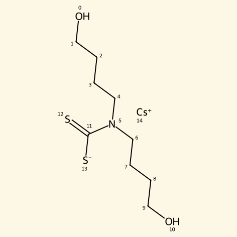 OCCCCN(CCCCO)C(=S)[S-].[Cs+]